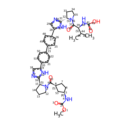 COC(=O)N[C@@H]1CC[C@H](C(=O)N2CCC[C@H]2c2ncc(-c3ccc(-c4ccc(-c5cnc([C@@H]6CCCN6C(=O)[C@@H](NC(=O)O)C(C)C)[nH]5)cc4)cc3)[nH]2)C1